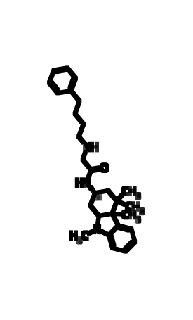 CN1c2ccccc2C2(C)C1C[C@@H](NC(=O)CNCCCCc1ccccc1)CC2(C)C